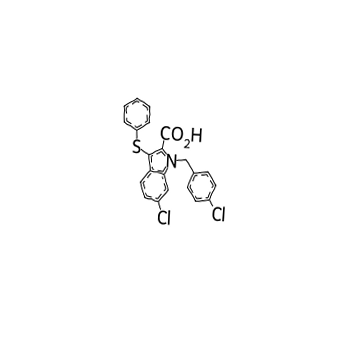 O=C(O)c1c(Sc2ccccc2)c2ccc(Cl)cc2n1Cc1ccc(Cl)cc1